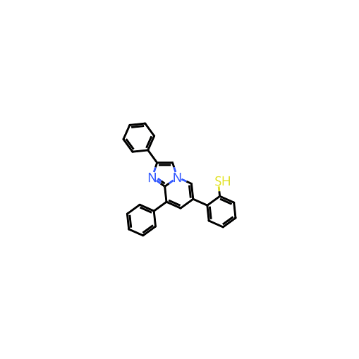 Sc1ccccc1-c1cc(-c2ccccc2)c2nc(-c3ccccc3)cn2c1